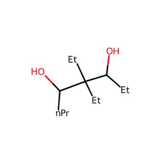 CCCC(O)C(CC)(CC)C(O)CC